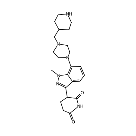 Cn1nc(C2CCC(=O)NC2=O)c2cccc(N3CCN(CC4CCNCC4)CC3)c21